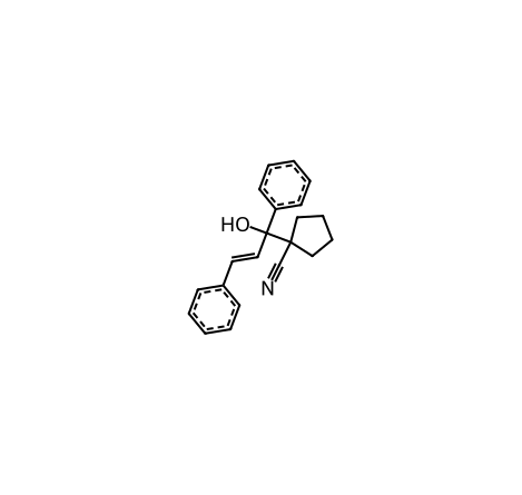 N#CC1(C(O)(C=Cc2ccccc2)c2ccccc2)CCCC1